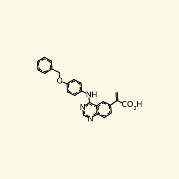 C=C(C(=O)O)c1ccc2ncnc(Nc3ccc(OCc4ccccc4)cc3)c2c1